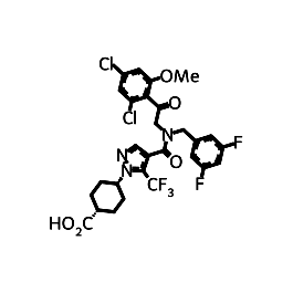 COc1cc(Cl)cc(Cl)c1C(=O)CN(Cc1cc(F)cc(F)c1)C(=O)c1cnn([C@H]2CC[C@H](C(=O)O)CC2)c1C(F)(F)F